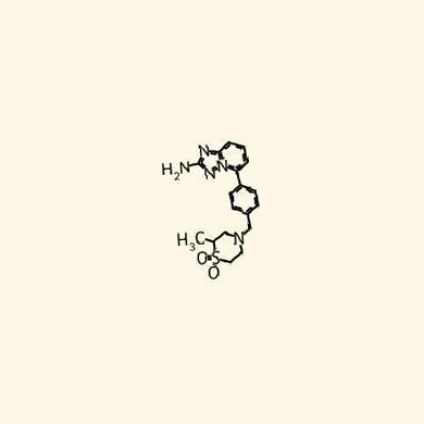 CC1CN(Cc2ccc(-c3cccc4nc(N)nn34)cc2)CCS1(=O)=O